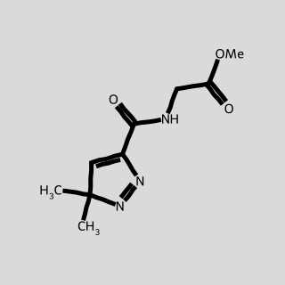 COC(=O)CNC(=O)C1=CC(C)(C)N=N1